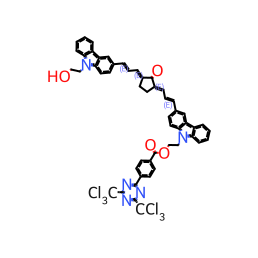 O=C1/C(=C/C=C/c2ccc3c(c2)c2ccccc2n3CCO)CC/C1=C\C=C\c1ccc2c(c1)c1ccccc1n2CCOC(=O)c1ccc(-c2nc(C(Cl)(Cl)Cl)nc(C(Cl)(Cl)Cl)n2)cc1